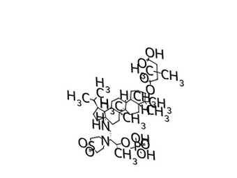 CC(C)[C@@H]1CC[C@]2(NC[C@H]([C@@H](C)OCP(=O)(O)O)N3CCS(=O)(=O)CC3)CC[C@]3(C)[C@H](CC[C@@H]4[C@@]5(C)CC[C@H](OC(=O)CC(C)(C)CC(=O)O)C(C)(C)[C@@H]5CC[C@]43C)[C@@H]12